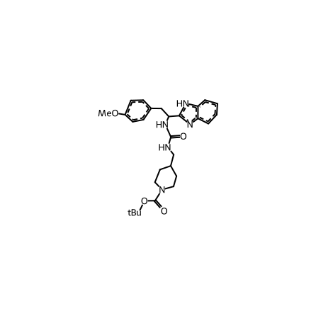 COc1ccc(CC(NC(=O)NCC2CCN(C(=O)OC(C)(C)C)CC2)c2nc3ccccc3[nH]2)cc1